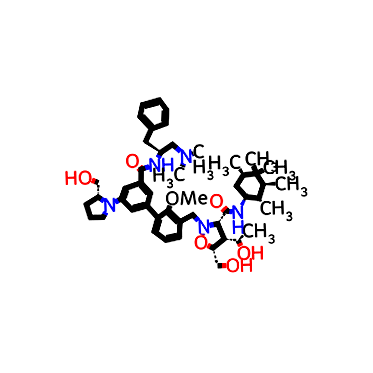 COc1c(CN2O[C@@H](CO)[C@@H]([C@H](C)O)[C@H]2C(=O)N[C@H]2C[C@@H](C)C(C)(C)[C@@H](C)[C@@H]2C)cccc1-c1cc(C(=O)N[C@@H](Cc2ccccc2)CN(C)C)cc(N2CCC[C@@H]2CO)c1